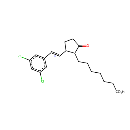 O=C(O)CCCCCCC1C(=O)CCC1/C=C/c1cc(Cl)cc(Cl)c1